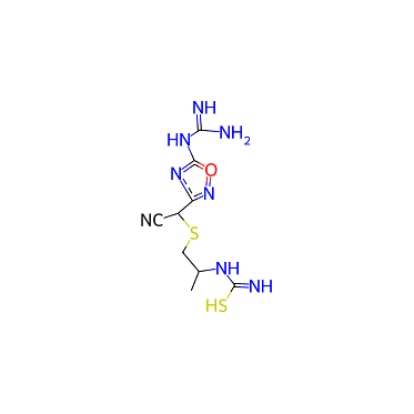 CC(CSC(C#N)c1noc(NC(=N)N)n1)NC(=N)S